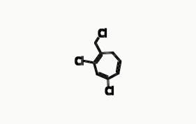 ClCC1=C(Cl)C=C(Cl)C=CC1